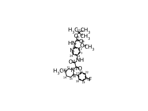 COc1cc(NC(=O)C(=O)N2C[C@@H](C)CC[C@@H]2c2ccc(F)cc2)cnc1NC(=O)OC(C)(C)C